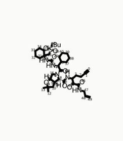 C#CCCC(NC(=O)[C@@H]1[C@H]2CC(C)(C)O[C@H]2CN1C(=O)[C@@H](NC(=O)NC1(CS(=O)(=O)C(C)(C)C)CCCCC1)C1CCCCC1)C(=O)C(=O)NCC=C